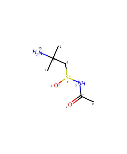 CC(=O)N[S+]([O-])CC(C)(C)N